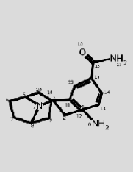 NCCCN1C2CCC1CC(c1cccc(C(N)=O)c1)C2